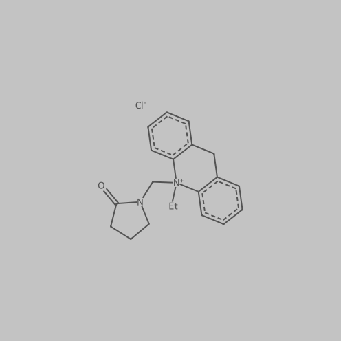 CC[N+]1(CN2CCCC2=O)c2ccccc2Cc2ccccc21.[Cl-]